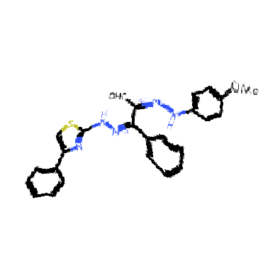 COc1ccc(N/N=C(C=O)\C(=N/Nc2nc(-c3ccccc3)cs2)c2ccccc2)cc1